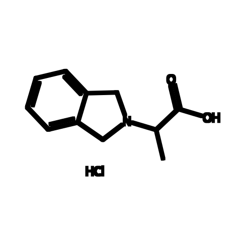 CC(C(=O)O)N1Cc2ccccc2C1.Cl